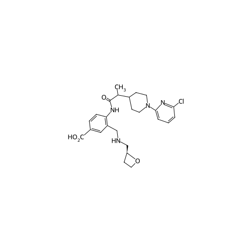 CC(C(=O)Nc1ccc(C(=O)O)cc1CNC[C@@H]1CCO1)C1CCN(c2cccc(Cl)n2)CC1